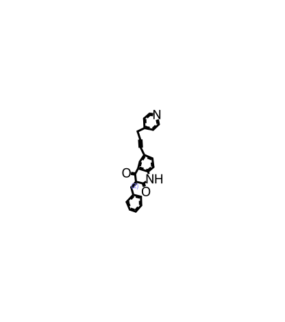 O=C1Nc2ccc(C#CCc3ccncc3)cc2C(=O)/C1=C/c1ccccc1